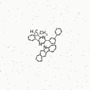 CC1(C)c2ccccc2-c2nc(-n3c4ccccc4c4cc5ccccc5cc43)c(-c3cccc(-c4ccccc4)c3)nc21